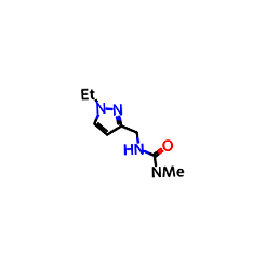 CCn1ccc(CNC(=O)NC)n1